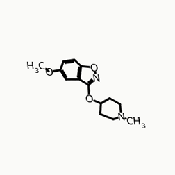 COc1ccc2onc(OC3CCN(C)CC3)c2c1